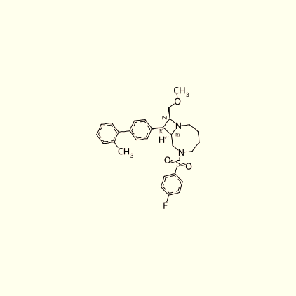 COC[C@@H]1[C@H](c2ccc(-c3ccccc3C)cc2)[C@@H]2CN(S(=O)(=O)c3ccc(F)cc3)CCCCN12